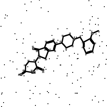 COc1ccccc1CN1CCC(c2ccc3c(c2)CN(C2CCC(=O)NC2=O)C3=O)CC1